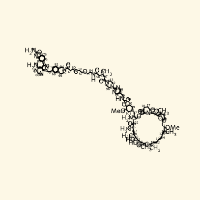 CO[C@H]1C[C@@H]2CC[C@@H](C)[C@@](O)(O2)C(=O)C(=O)N2CCCC[C@H]2C(=O)O[C@H]([C@H](N)C[C@@H]2CC[C@@H](OC(=O)NCc3cnc(N4CCN(C(=O)CN(C)CC(=O)NCCOCCOCCC(=O)N5CCc6cc(Cn7nc(-c8ccc9oc(N)nc9c8)c8c(N)ncnc87)ccc6C5)CC4)nc3)[C@H](OC)C2)CC(=O)[C@H](C)/C=C(\C)[C@@H](O)[C@@H](O)C(=O)[C@H](C)C[C@H](C)/C=C/C=C/C=C/1C